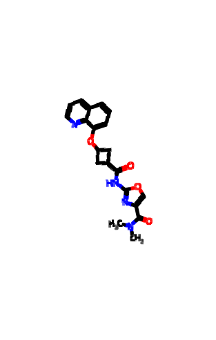 CN(C)C(=O)c1coc(NC(=O)C2CC(Oc3cccc4cccnc34)C2)n1